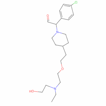 CCN(CCO)CCOCCC1CCN(C(C=O)c2ccc(Cl)cc2)CC1